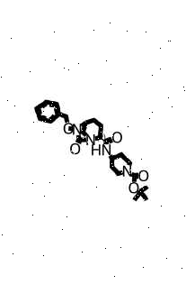 CC(C)(C)OC(=O)N1CCC(NC(=O)[C@H]2CCC3CN2C(=O)N3OCc2ccccc2)CC1